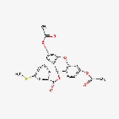 CSc1ccc2c(c1)C(=O)OC21c2ccc(OC(C)=O)cc2Oc2cc(OC(C)=O)ccc21